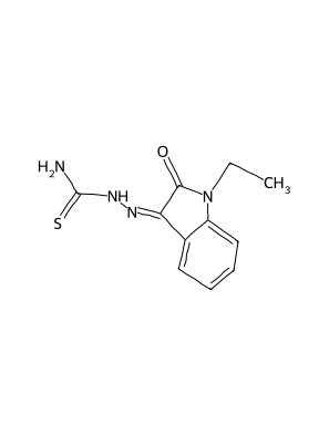 CCN1C(=O)C(=NNC(N)=S)c2ccccc21